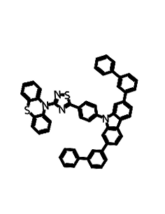 c1ccc(-c2cccc(-c3ccc4c5ccc(-c6cccc(-c7ccccc7)c6)cc5n(-c5ccc(-c6nc(N7c8ccccc8Sc8ccccc87)ns6)cc5)c4c3)c2)cc1